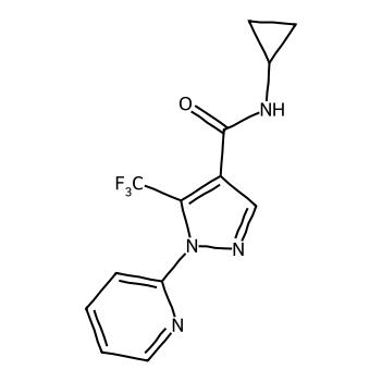 O=C(NC1CC1)c1cnn(-c2ccccn2)c1C(F)(F)F